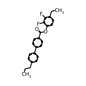 CCCc1ccc(-c2ccc(C(=O)Oc3ccc(CC)c(F)c3F)cc2)cc1